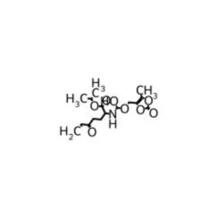 C=CC(=O)CCC(NC(O)OCc1oc(=O)oc1C)C(=O)OC(C)C